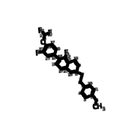 CCc1ccc(CCc2ccc3c(F)c(-c4ccc(OC(F)F)c(F)c4)ccc3c2)cc1